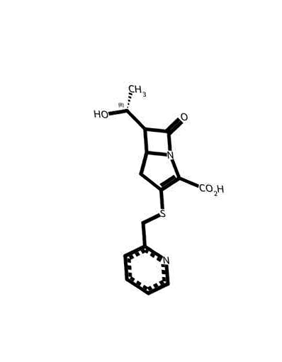 C[C@@H](O)C1C(=O)N2C(C(=O)O)=C(SCc3ccccn3)CC12